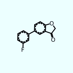 O=C1COc2ccc(-c3cccc(F)c3)cc21